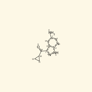 Nc1cnc2[nH]nc(C(=O)C3CC3)c2c1